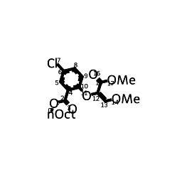 CCCCCCCCOC(=O)c1cc(Cl)ccc1O/C(=C/OC)C(=O)OC